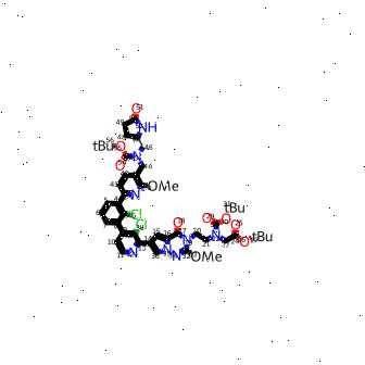 COc1nc(-c2cccc(-c3ccnc(-c4cc5c(=O)n(CCN(CC(=O)OC(C)(C)C)C(=O)OC(C)(C)C)c(OC)nn5c4)c3Cl)c2Cl)ccc1CN(C[C@@H]1CCC(=O)N1)C(=O)OC(C)(C)C